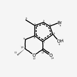 Cc1cc(Br)c(O)c2c1C[C@@H](C)OC2=O